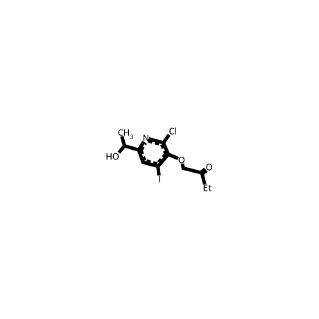 CCC(=O)COc1c(I)cc(C(C)O)nc1Cl